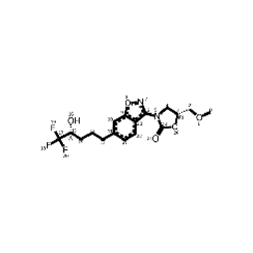 COC[C@H]1CN(c2noc3cc(CCC[C@@H](O)C(F)(F)F)ccc23)C(=O)O1